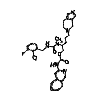 CN(C(=O)NCc1cccc(F)c1Cl)[C@@H](CCCN1CCn2cncc2C1)COC(=O)Nc1cc2ccccc2cn1